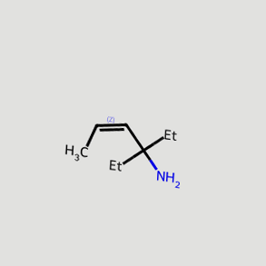 C/C=C\C(N)(CC)CC